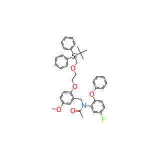 COc1ccc(OCCOC[Si](c2ccccc2)(c2ccccc2)C(C)(C)C)c(CN(C(C)=O)c2cc(F)ccc2Oc2ccccc2)c1